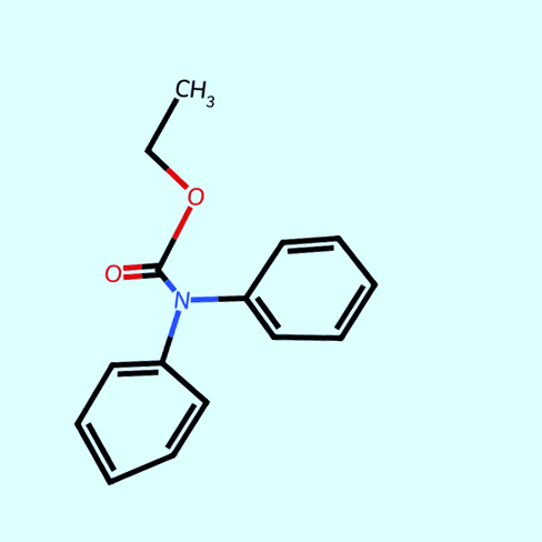 CCOC(=O)N(c1ccccc1)c1ccccc1